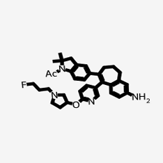 CC(=O)N1c2ccc(C3=C(c4ccc(OC5CCN(CCCF)C5)nc4)c4ccc(N)cc4CCC3)cc2CC1(C)C